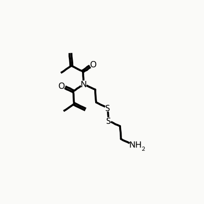 C=C(C)C(=O)N(CCSSCCN)C(=O)C(=C)C